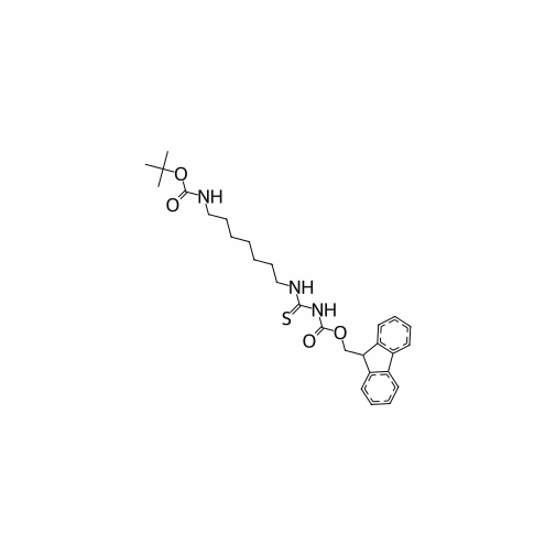 CC(C)(C)OC(=O)NCCCCCCCNC(=S)NC(=O)OCC1c2ccccc2-c2ccccc21